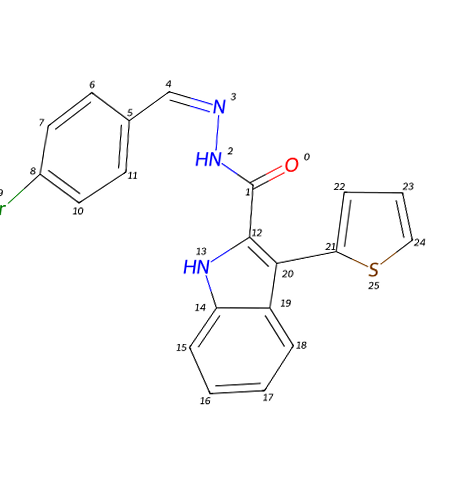 O=C(N/N=C\c1ccc(Br)cc1)c1[nH]c2ccccc2c1-c1cccs1